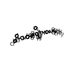 CC(C)(C)OC(=O)N1CC2(CCN(CC[C@H](CSc3ccccc3)Nc3ccc(S(=O)(=O)NC(=O)c4ccc(N5CCC([C@@H](O)c6ccccc6-c6ccc(Cl)cc6)CC5)cc4)cc3S(=O)(=O)C(F)(F)F)CC2)C1